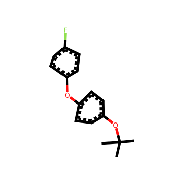 CC(C)(C)Oc1ccc(Oc2ccc(F)cc2)cc1